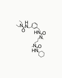 CCN(CC)C(=O)NCc1cccc(CNC(=O)N(C)CCCN(C)C(=O)NC2CCCCC2)c1